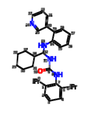 CC(C)c1cccc(C(C)C)c1NC(=O)NC(Nc1ccccc1-c1cccnc1)C1CCCCC1